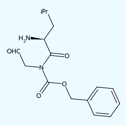 CC(C)C[C@H](N)C(=O)N(C[C]=O)C(=O)OCc1ccccc1